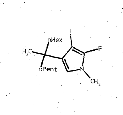 CCCCCCC(C)(CCCCC)c1cn(C)c(F)c1I